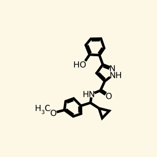 COc1ccc(C(NC(=O)c2cc(-c3ccccc3O)n[nH]2)C2CC2)cc1